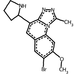 COc1cc2c(cc1Br)cc(C1CCCN1)c1nnc(C)n12